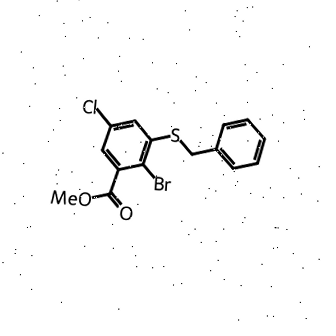 COC(=O)c1cc(Cl)cc(SCc2ccccc2)c1Br